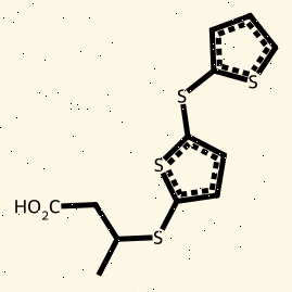 CC(CC(=O)O)Sc1ccc(Sc2cccs2)s1